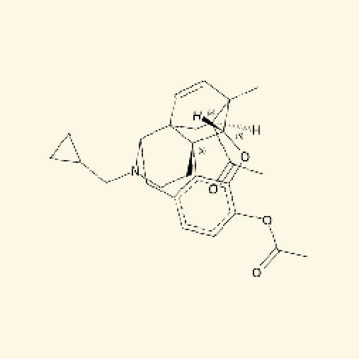 CC(=O)Oc1ccc2c3c1O[C@H]1C4(C)C=CC5(C[C@@H]4C(C)=O)C(C2)N(CC2CC2)CC[C@]315